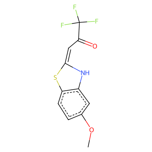 COc1ccc2c(c1)NC(=CC(=O)C(F)(F)F)S2